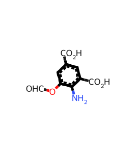 Nc1c(OC=O)cc(C(=O)O)cc1C(=O)O